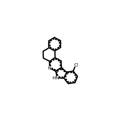 Clc1cccc2[nH]c3nc4c(cc3c12)-c1ccccc1CC4